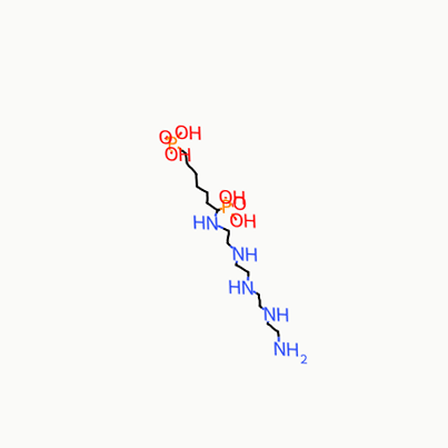 NCCNCCNCCNCCNC(CCCCCCP(=O)(O)O)P(=O)(O)O